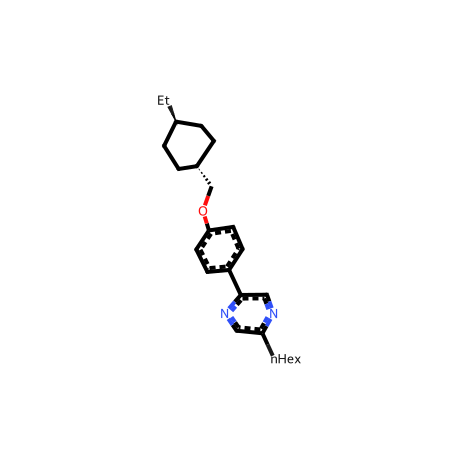 CCCCCCc1cnc(-c2ccc(OC[C@H]3CC[C@H](CC)CC3)cc2)cn1